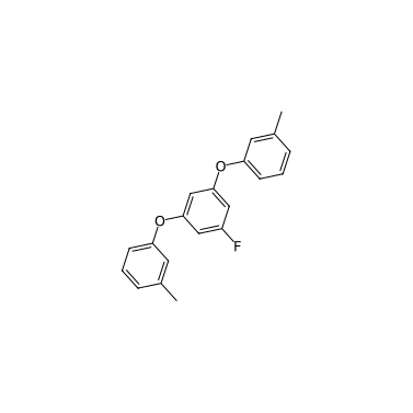 Cc1cccc(Oc2cc(F)cc(Oc3cccc(C)c3)c2)c1